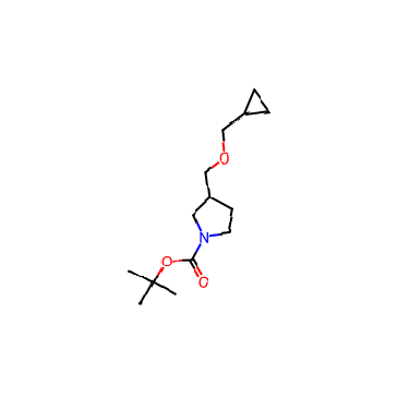 CC(C)(C)OC(=O)N1CCC(COCC2CC2)C1